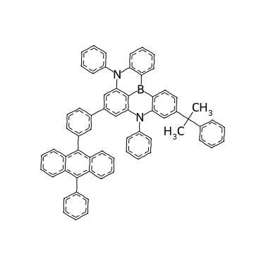 CC(C)(c1ccccc1)c1ccc2c(c1)N(c1ccccc1)c1cc(-c3cccc(-c4c5ccccc5c(-c5ccccc5)c5ccccc45)c3)cc3c1B2c1ccccc1N3c1ccccc1